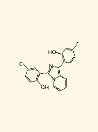 Oc1cc(F)ccc1-c1nc(-c2cc(Cl)ccc2O)n2ccccc12